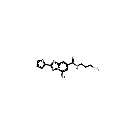 CCCCNC(=O)c1cc(N)n2nc(-c3cccs3)nc2c1